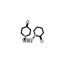 CCCCCCN1CCC(=O)CC1.CCCCCN1CCCCC1=O